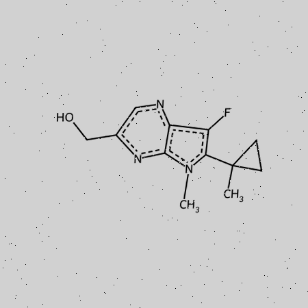 Cn1c(C2(C)CC2)c(F)c2ncc(CO)nc21